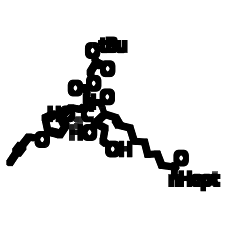 CC#CCOc1ccc(CCN(C(=O)OCC(=O)OC(C)(C)C)C(=O)[C@@H](/C=C/CCCCCCC(=O)CCCCCCC)[C@@](O)(CCO)C(=O)O)cc1